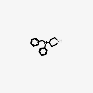 c1ccc(CN(c2ccccc2)C2CCNCC2)cc1